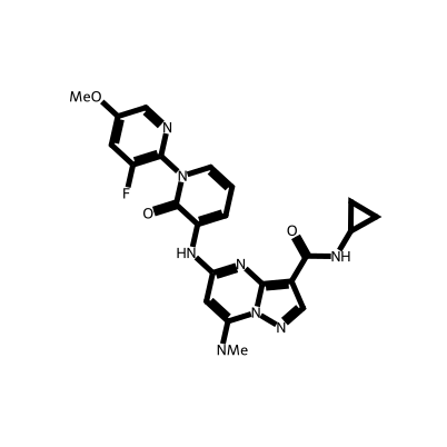 CNc1cc(Nc2cccn(-c3ncc(OC)cc3F)c2=O)nc2c(C(=O)NC3CC3)cnn12